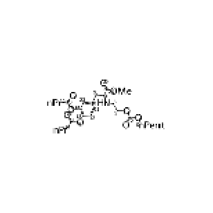 CCCCCOC(=O)OCCN[C@@H](Cc1ccc(OC(=O)CCC)c(OC(=O)CCC)c1)C(=O)OC